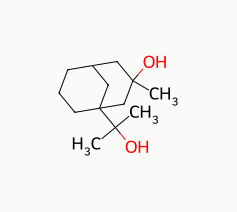 CC1(O)CC2CCCC(C(C)(C)O)(C2)C1